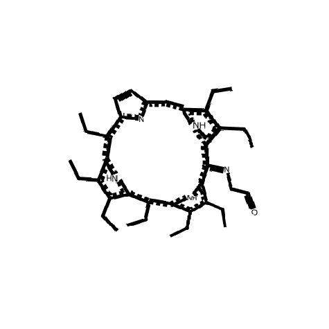 CCc1c(CC)c2[nH]c1cc1nc(c(CC)c3[nH]c(c(CC)c3CC)c(CC)c3[nH]c(c(CC)c3CC)/c2=N\CC=O)C=C1